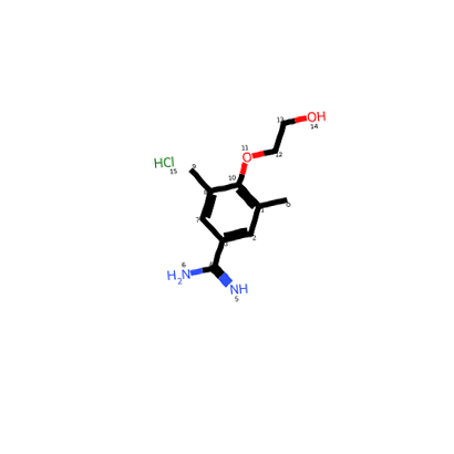 Cc1cc(C(=N)N)cc(C)c1OCCO.Cl